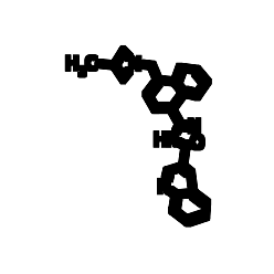 CC1CN(Cc2ccc(C3=NOC(c4cnc5ccccc5c4)N3)c3ccccc23)C1